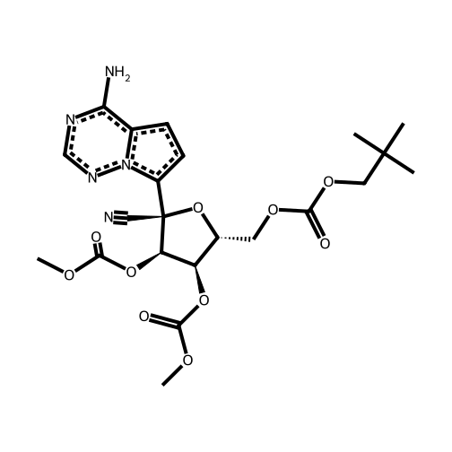 COC(=O)O[C@H]1[C@@H](OC(=O)OC)[C@](C#N)(c2ccc3c(N)ncnn23)O[C@@H]1COC(=O)OCC(C)(C)C